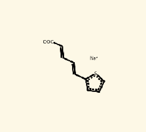 O=C([O-])C=CC=Cc1cccs1.[Na+]